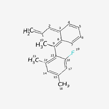 C=C/C=c1/cccc/c1=C(/C)c1c(C)cc(C)cc1F